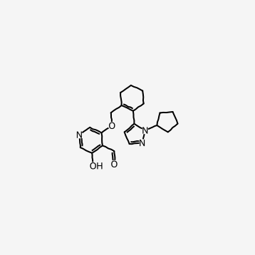 O=Cc1c(O)cncc1OCC1=C(c2ccnn2C2CCCC2)CCCC1